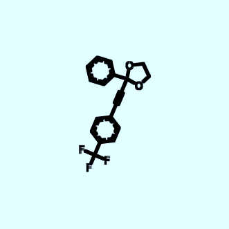 FC(F)(F)c1ccc(C#CC2(c3ccccc3)OCCO2)cc1